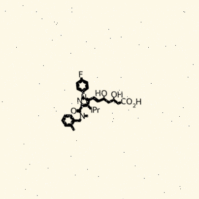 Cc1ccccc1CN(C)C(=O)c1nn(-c2ccc(F)cc2)c(/C=C/[C@@H](O)C[C@@H](O)CC(=O)O)c1C(C)C